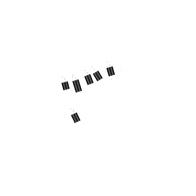 [C-]#N.[C-]#N.[C-]#N.[C-]#N.[C-]#N.[C-]#N.[Fe+3].[Fe+3]